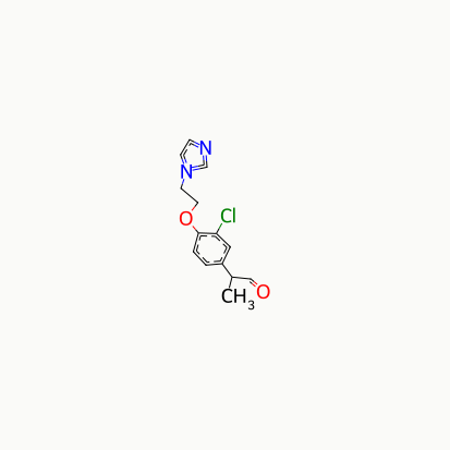 CC(C=O)c1ccc(OCCn2ccnc2)c(Cl)c1